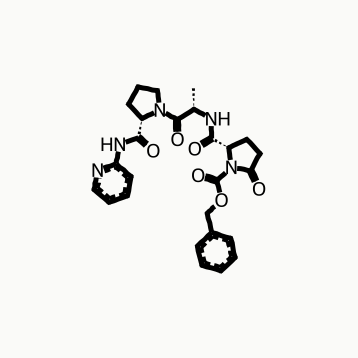 C[C@H](NC(=O)[C@@H]1CCC(=O)N1C(=O)OCc1ccccc1)C(=O)N1CCC[C@H]1C(=O)Nc1ccccn1